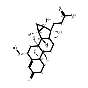 C[C@]12CC[C@H]3[C@@H](C[C@@H](CO)C4=CC(=O)CC[C@@H]43)[C@@H]1[C@H]1C[C@H]1[C@@]2(O)CCC(=O)O